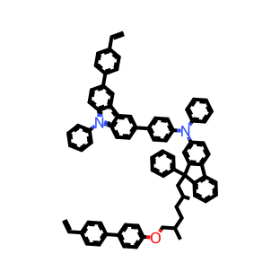 C=Cc1ccc(-c2ccc(OCC(C)CCC(C)CC3(c4ccccc4)c4ccccc4-c4ccc(N(c5ccccc5)c5ccc(-c6ccc7c(c6)c6cc(-c8ccc(C=C)cc8)ccc6n7-c6ccccc6)cc5)cc43)cc2)cc1